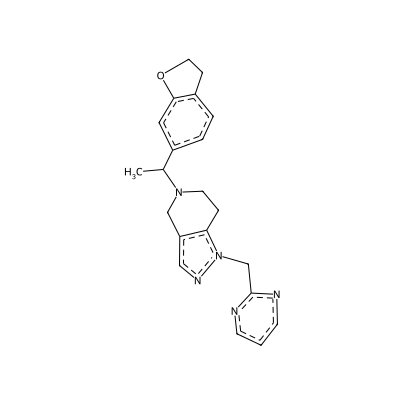 CC(c1ccc2c(c1)OCC2)N1CCc2c(cnn2Cc2ncccn2)C1